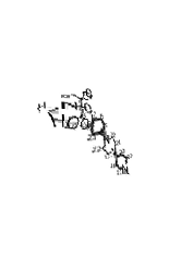 CC(=C=O)C(N)(Oc1ccc(N2CCN(c3ccncc3)CC2)cc1)C(=O)O